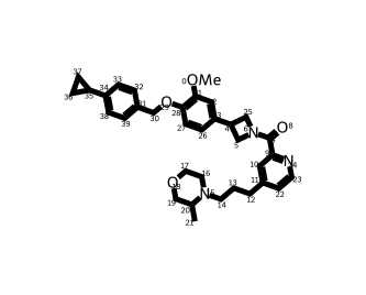 COc1cc(C2CN(C(=O)c3cc(CCCN4CCOCC4C)ccn3)C2)ccc1OCc1ccc(C2CC2)cc1